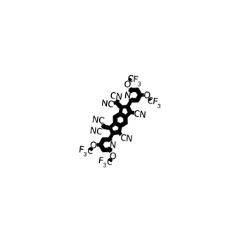 N#CC(C#N)=C1C(c2cc(OC(F)(F)F)cc(OC(F)(F)F)n2)=C(C#N)c2cc3c(cc21)C(=C(C#N)C#N)C(c1cc(OC(F)(F)F)cc(OC(F)(F)F)n1)=C3C#N